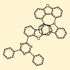 C1=CC2C(CC1)c1ccccc1N2c1cccc2oc3cccc(-c4cccc5oc6c(-c7nc(-c8ccccc8)nc(-c8ccccc8)n7)cccc6c45)c3c12